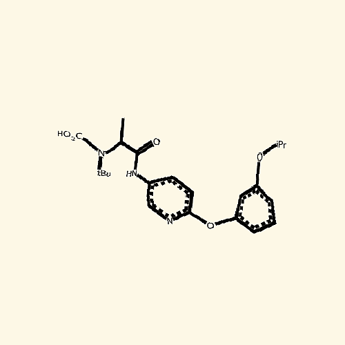 CC(C)Oc1cccc(Oc2ccc(NC(=O)C(C)N(C(=O)O)C(C)(C)C)cn2)c1